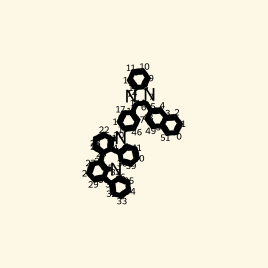 c1ccc2cc(-c3nc4ccccc4nc3-c3ccc(-n4c5cccc6c7cccc8c9ccccc9n(c9cccc4c9c65)c78)cc3)ccc2c1